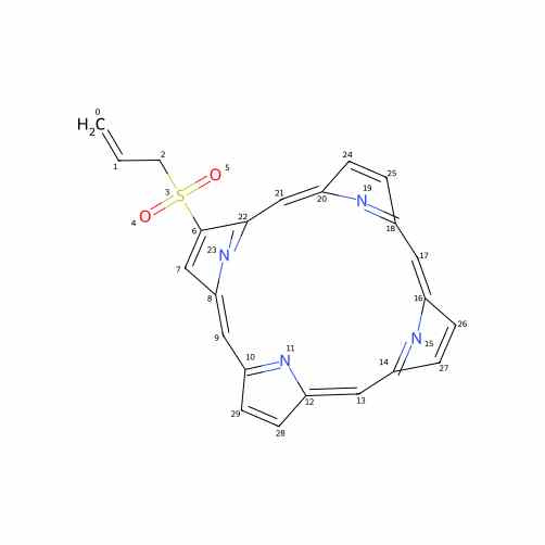 C=CCS(=O)(=O)C1=CC2=CC3=NC(=CC4=NC(=CC5=NC(=CC1=N2)C=C5)C=C4)C=C3